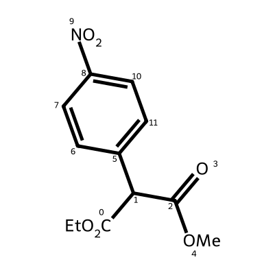 CCOC(=O)C(C(=O)OC)c1ccc([N+](=O)[O-])cc1